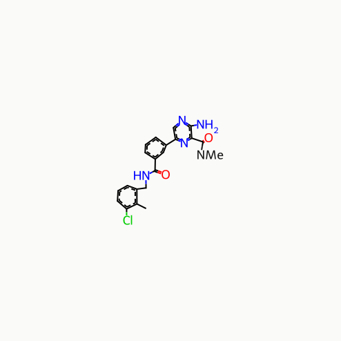 CNC(=O)c1nc(-c2cccc(C(=O)NCc3cccc(Cl)c3C)c2)cnc1N